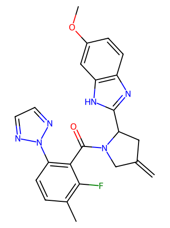 C=C1CC(c2nc3ccc(OC)cc3[nH]2)N(C(=O)c2c(-n3nccn3)ccc(C)c2F)C1